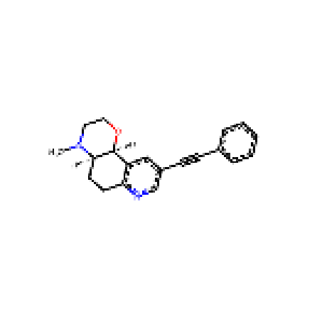 CN1CCO[C@H]2c3cc(C#Cc4ccccc4)cnc3CC[C@H]21